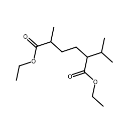 CCOC(=O)C(C)CCC(C(=O)OCC)C(C)C